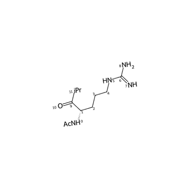 CC(=O)N[C@@H](CCCNC(=N)N)C(=O)C(C)C